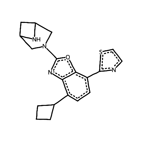 c1csc(-c2ccc(C3CCC3)c3nc(N4CC5CC(C4)N5)oc23)n1